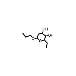 CCCO[C@H]1C[C@@H](O)[C@@H](O)C(CC)O1